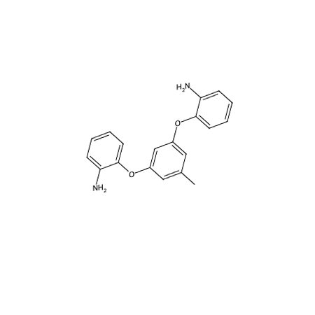 Cc1cc(Oc2ccccc2N)cc(Oc2ccccc2N)c1